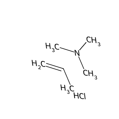 C=CC.CN(C)C.Cl